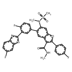 CNC(=O)c1c(-c2ccc(F)cc2)oc2cc(N(C)S(C)(=O)=O)c(-c3ccc(F)c(-c4nc5ccc(F)cc5s4)c3)cc12